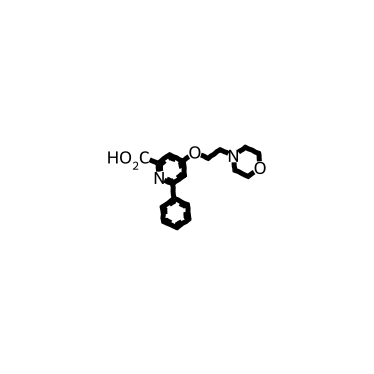 O=C(O)c1cc(OCCN2CCOCC2)cc(-c2ccccc2)n1